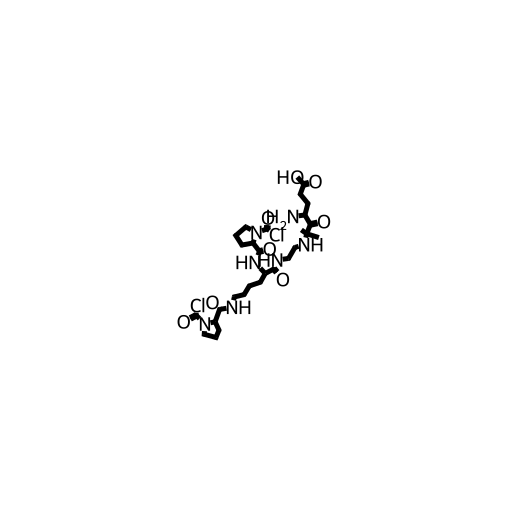 CC(C)(NCCNC(=O)C(CCCCNC(=O)C1CCCN1C(=O)Cl)NC(=O)C1CCCN1C(=O)Cl)C(=O)C(N)CCC(=O)O